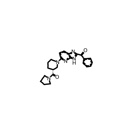 O=C(c1ccccc1)c1nc2ccc(N3CCC[C@@H](C(=O)N4CCCC4)C3)nc2[nH]1